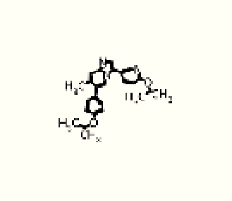 Cc1cc2ncc(-c3ccc(OC(C)C)nc3)n2cc1-c1ccc(OC(C)C)cc1